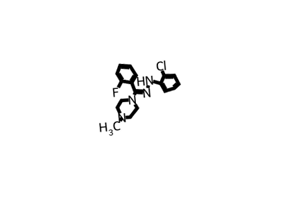 CN1CCN(/C(=N/Nc2ccccc2Cl)c2ccccc2F)CC1